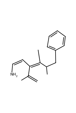 C=C(C)C(/C=C\N)=C(/C)C(C)Cc1ccccc1